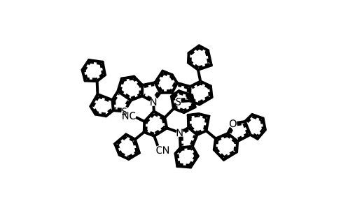 N#Cc1c(-c2ccccc2)c(C#N)c(-n2c3c(ccc4c3sc3cccc(-c5ccccc5)c34)c3ccc4c(sc5cccc(-c6ccccc6)c54)c32)c(-c2ccccc2)c1-n1c2ccccc2c2c(-c3cccc4c3oc3ccccc34)cccc21